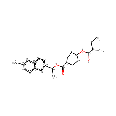 CCC(C)C(=O)OC1CCC(C(=O)OC(C)c2ccc3cc(C)ccc3c2)CC1